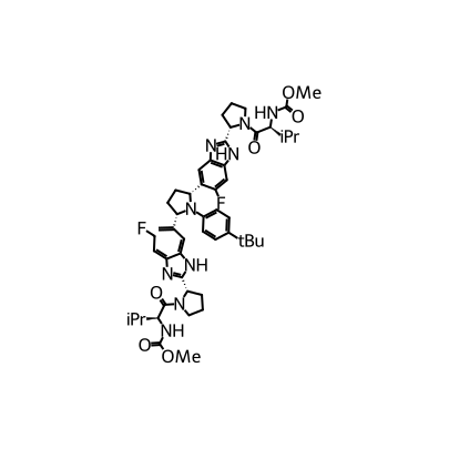 C=C(/C=c1/[nH]c([C@@H]2CCCN2C(=O)[C@@H](NC(=O)OC)C(C)C)n/c1=C/CF)[C@@H]1CC[C@H](c2cc3nc([C@@H]4CCCN4C(=O)[C@@H](NC(=O)OC)C(C)C)[nH]c3cc2F)N1c1ccc(C(C)(C)C)cc1